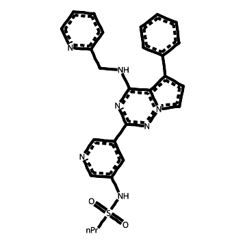 CCCS(=O)(=O)Nc1cncc(-c2nc(NCc3ccccn3)c3c(-c4ccccc4)ccn3n2)c1